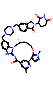 Cc1cc2cc(n1)-c1cnn(C)c1OCCC[C@@H](C)CN1/C(=N/C2=O)Nc2ccc(CN3CCN(Cc4ccc5c(c4)CN(C4CCC(=O)NC4=O)C5=O)CC3)cc21